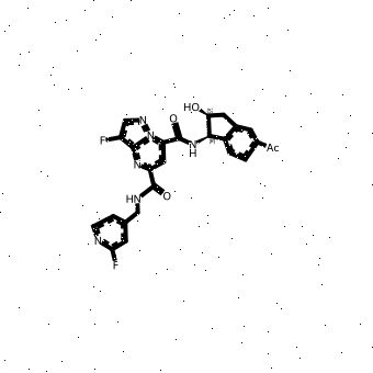 CC(=O)c1ccc2c(c1)C[C@H](O)[C@@H]2NC(=O)c1cc(C(=O)NCc2ccnc(F)c2)nc2c(F)cnn12